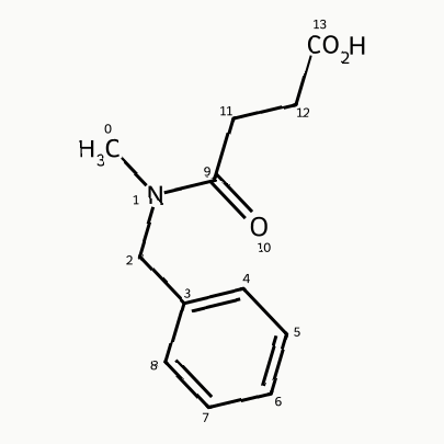 CN(Cc1ccccc1)C(=O)CCC(=O)O